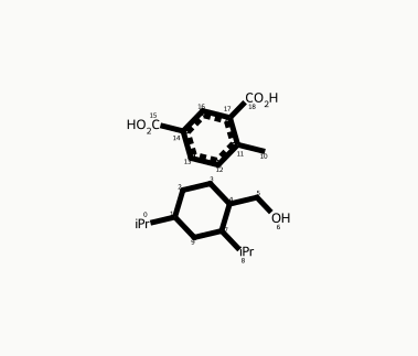 CC(C)C1CCC(CO)C(C(C)C)C1.Cc1ccc(C(=O)O)cc1C(=O)O